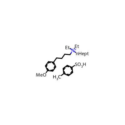 CCCCCCC[N+](CC)(CC)CCCCc1ccc(OC)cc1.Cc1ccc(S(=O)(=O)O)cc1